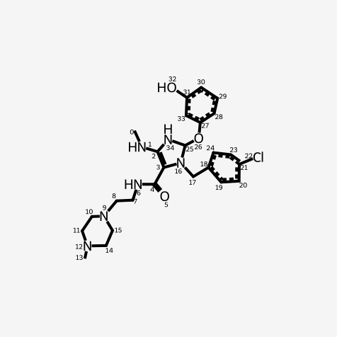 CNC1=C(C(=O)NCCN2CCN(C)CC2)N(Cc2ccc(Cl)cc2)C(Oc2cccc(O)c2)N1